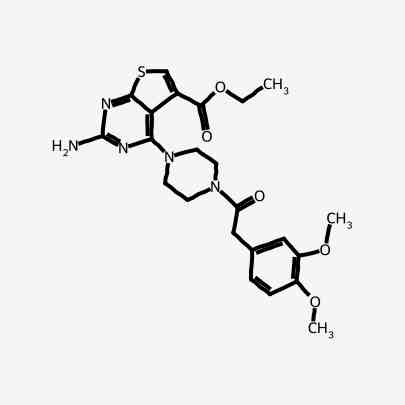 CCOC(=O)c1csc2nc(N)nc(N3CCN(C(=O)Cc4ccc(OC)c(OC)c4)CC3)c12